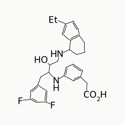 CCc1ccc2c(c1)C(NCC(O)C(Cc1cc(F)cc(F)c1)Nc1cccc(CC(=O)O)c1)CCC2